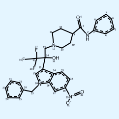 O=C(Nc1ccccc1)C1CCN(CC(O)(c2cn(Cc3ccccc3)c3cc([N+](=O)[O-])ccc23)C(F)(F)F)CC1